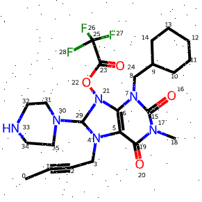 CC#CCN1c2c(n(CC3CCCCC3)c(=O)n(C)c2=O)N(OC(=O)C(F)(F)F)C1N1CCNCC1